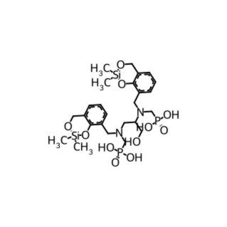 C[Si]1(C)OCc2cccc(CN(CC(CO)N(Cc3cccc4c3O[Si](C)(C)OC4)CP(=O)(O)O)CP(=O)(O)O)c2O1